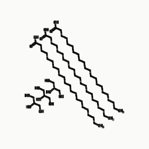 CCCCCCCCCCCCCCCCCCCCCC(=O)O.CCCCCCCCCCCCCCCCCCCCCC(=O)O.CCCCCCCCCCCCCCCCCCCCCC(=O)O.OCC(O)CO.OCC(O)CO.OCC(O)CO